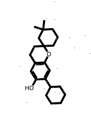 CC1(C)CCCC2(CCc3cc(O)c(C4CCCCC4)cc3O2)C1